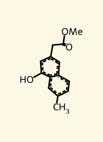 COC(=O)Cc1cc(O)c2cc(C)ccc2c1